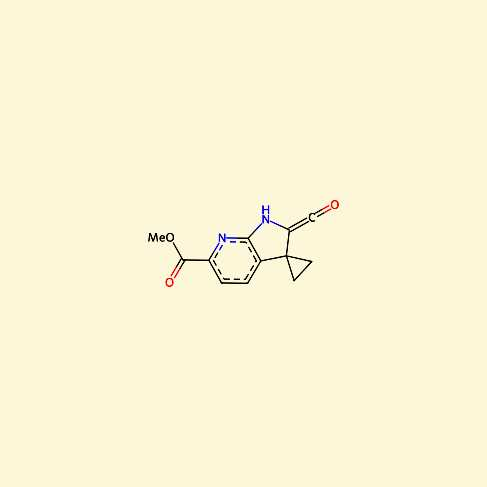 COC(=O)c1ccc2c(n1)NC(=C=O)C21CC1